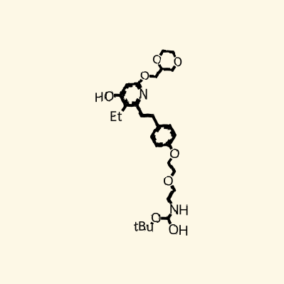 CCc1c(O)cc(OCC2COCCO2)nc1CCc1ccc(OCCOCCNC(O)OC(C)(C)C)cc1